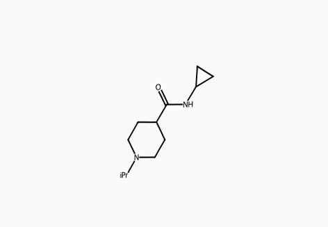 CC(C)N1CCC(C(=O)NC2CC2)CC1